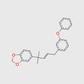 CC(C)(C=CCc1cccc(Oc2ccccc2)c1)c1ccc2c(c1)OCO2